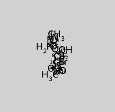 Cc1ncc(COc2cc(/C=C3\SC(=O)N(C)C3=O)c(Br)c(F)c2O)c(N)n1